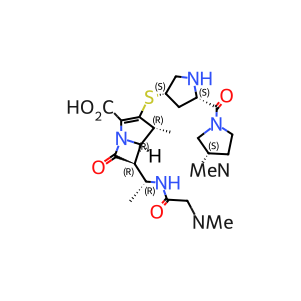 CNCC(=O)N[C@H](C)[C@H]1C(=O)N2C(C(=O)O)=C(S[C@@H]3CN[C@H](C(=O)N4CC[C@H](NC)C4)C3)[C@H](C)[C@@H]12